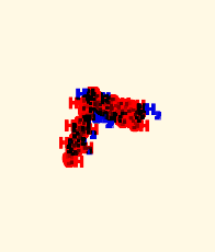 CC(=O)Nc1cc(S(=O)(=O)O)c2cc(N)cc(S(=O)(=O)O)c2c1.Nc1cc(S(=O)(=O)O)c2cc(S(=O)(=O)O)cc(S(=O)(=O)O)c2c1.Nc1cc(S(=O)(=O)O)cc2cc(S(=O)(=O)O)ccc12.Nc1cc2c(S(=O)(=O)O)cc(S(=O)(=O)O)cc2cc1S(=O)(=O)O.Nc1ccc2c(S(=O)(=O)O)cccc2c1S(=O)(=O)O.Nc1ccc2cc(S(=O)(=O)O)cc(S(=O)(=O)O)c2c1.Nc1ccc2cc(S(=O)(=O)O)ccc2c1S(=O)(=O)O